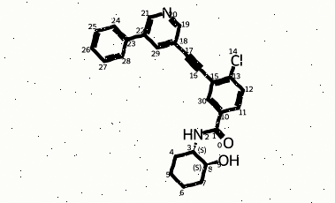 O=C(N[C@H]1CCCC[C@@H]1O)c1ccc(Cl)c(C#Cc2cncc(-c3ccccc3)c2)c1